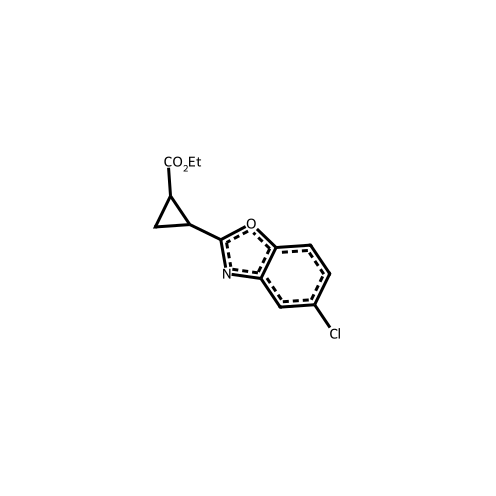 CCOC(=O)C1CC1c1nc2cc(Cl)ccc2o1